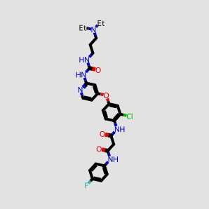 CCN(CC)CCCNC(=O)Nc1cc(Oc2ccc(NC(=O)CC(=O)Nc3ccc(F)cc3)c(Cl)c2)ccn1